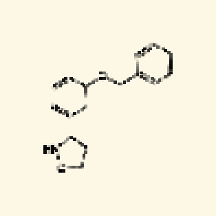 c1ccc(COc2cccc(C3CCON3)c2)cc1